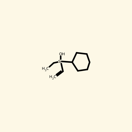 C=C[Si](O)(CC)C1CCCCC1